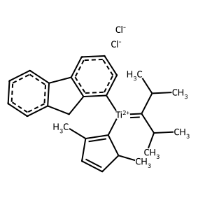 CC1=[C]([Ti+2](=[C](C(C)C)C(C)C)[c]2cccc3c2Cc2ccccc2-3)C(C)C=C1.[Cl-].[Cl-]